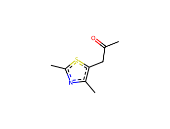 CC(=O)Cc1sc(C)nc1C